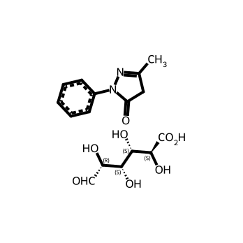 CC1=NN(c2ccccc2)C(=O)C1.O=C[C@H](O)[C@@H](O)[C@H](O)[C@H](O)C(=O)O